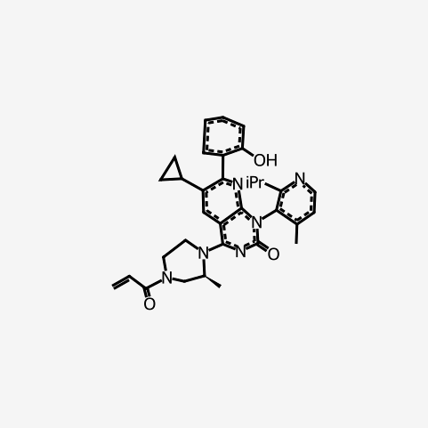 C=CC(=O)N1CCN(c2nc(=O)n(-c3c(C)ccnc3C(C)C)c3nc(-c4ccccc4O)c(C4CC4)cc23)[C@@H](C)C1